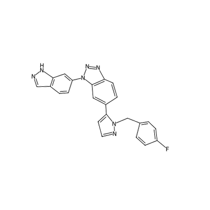 Fc1ccc(Cn2nccc2-c2ccc3nnn(-c4ccc5cn[nH]c5c4)c3c2)cc1